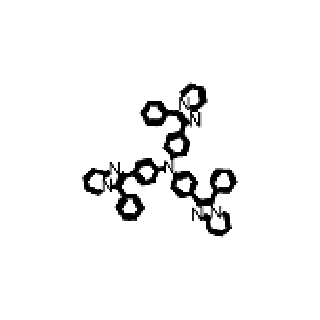 C1=CC(N(c2ccc(-c3nc4ccccn4c3-c3ccccc3)cc2)c2ccc(-c3nc4ccccn4c3-c3ccccc3)cc2)CC=C1c1nc2ccccn2c1-c1ccccc1